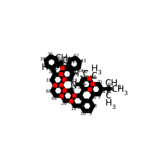 CC(C)(C)c1cc(-c2cccc3cccc(-c4ccccc4N(c4ccccc4-c4ccc5c6ccccc6n(-c6ccccc6)c5c4)c4ccc(C(C)(C)C)cc4-c4ccccc4)c23)cc(C(C)(C)C)c1